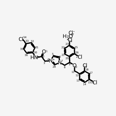 O.O=C(C[n+]1ccn(CC(OCc2ccc(Cl)cc2Cl)c2ccc(Cl)cc2Cl)c1)Nc1ccc(Cl)cc1.[Cl-]